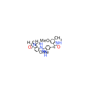 COC1=CC2=C(NC(=O)[C@@]23C[C@H]3c2ccc3c(Nc4cc(C5(N(C)C)COC5)ccc4OC)n[nH]c3c2)C(C)C1